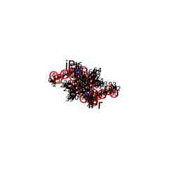 C=C(C)C(=O)OCCOCCOC(=O)C(CC(C)C)N1C(=O)c2cc(Oc3ccc(C)cc3)c3c4c(Oc5ccc(C)cc5)cc5c6c(cc(Oc7ccc(C)cc7)c(c7c(Oc8ccc(C)cc8)cc(c2c37)C1=O)c64)C(=O)N(C(CC(C)C)C(=O)OCCOCCOC(=O)C(=C)C)C5=O